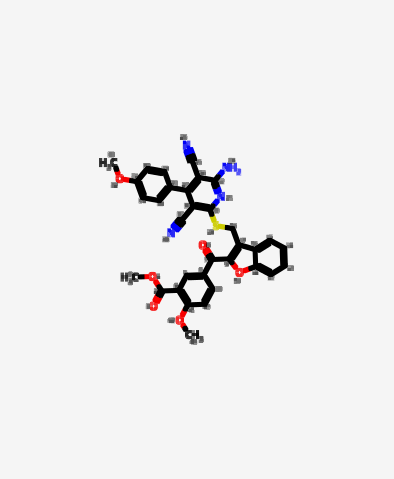 COC(=O)c1cc(C(=O)c2oc3ccccc3c2CSc2nc(N)c(C#N)c(-c3ccc(OC)cc3)c2C#N)ccc1OC